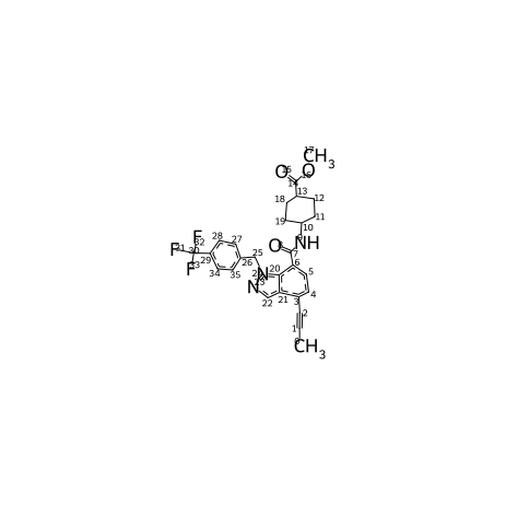 CC#Cc1ccc(C(=O)NC2CCC(C(=O)OC)CC2)c2c1cnn2Cc1ccc(C(F)(F)F)cc1